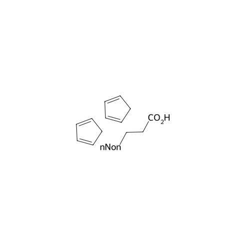 C1=CCC=C1.C1=CCC=C1.CCCCCCCCCCCC(=O)O